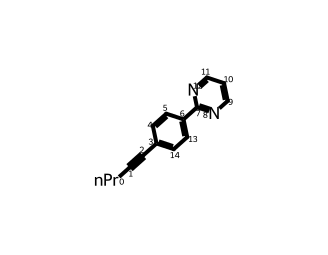 [CH2]CCC#Cc1ccc(-c2ncccn2)cc1